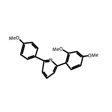 COc1ccc(-c2cccc(-c3ccc(OC)cc3OC)n2)cc1